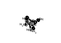 CCCCC(=O)N[C@]1(C(=O)N[C@H](Cc2ccccc2)C(=O)N[C@@H](CCCNC(=N)N)C(=O)N[C@@H](Cc2c[nH]c3ccccc23)C(=O)NCC(N)=O)CC[C@H](c2ccc(O)cc2)CC1